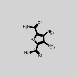 NC(=O)c1oc(C(N)=O)c(N)c1N